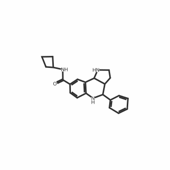 O=C(NC1CCC1)c1ccc2c(c1)C1NCCC1C(c1ccccc1)N2